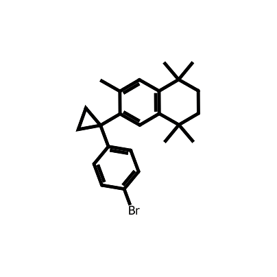 Cc1cc2c(cc1C1(c3ccc(Br)cc3)CC1)C(C)(C)CCC2(C)C